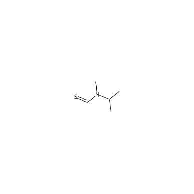 CC(C)N(C)C=S